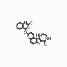 O=C1NCCNc2c1sc1ccc3nc(Oc4nc(Cl)nc5c4CSCC5)ccc3c21